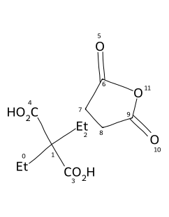 CCC(CC)(C(=O)O)C(=O)O.O=C1CCC(=O)O1